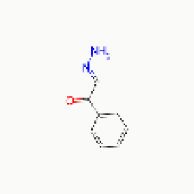 NN=CC(=O)c1ccccc1